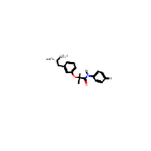 CCc1ccc(N(CC)C(=O)C(C)(C)Oc2cccc(C[C@H](OC)C(=O)O)c2)cc1